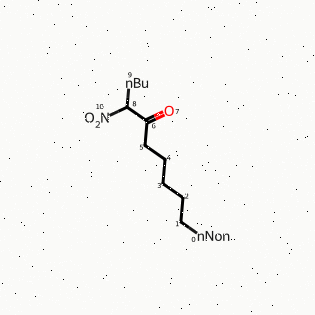 CCCCCCCCCCCCCCC(=O)C(CCCC)[N+](=O)[O-]